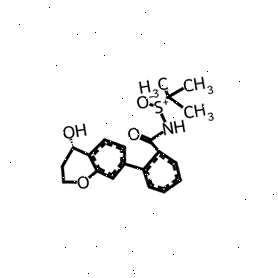 CC(C)(C)[S+]([O-])NC(=O)c1ccccc1-c1ccc2c(c1)OCC[C@@H]2O